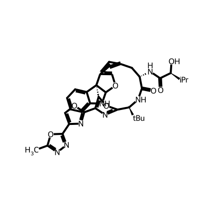 Cc1nnc(-c2coc(-c3nc4oc3[C@@]35c6ccccc6NC3Oc3ccc(cc35)C[C@H](NC(=O)[C@@H](O)C(C)C)C(=O)N[C@H]4C(C)(C)C)n2)o1